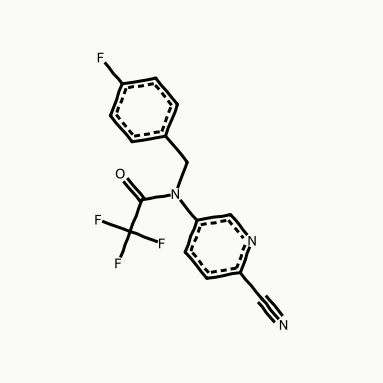 N#Cc1ccc(N(Cc2ccc(F)cc2)C(=O)C(F)(F)F)cn1